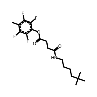 Cc1c(F)c(F)c(OC(=O)CCC(=O)NCCCCC(C)(C)C)c(F)c1F